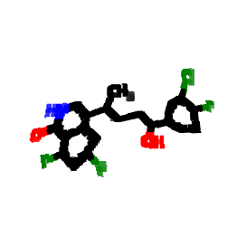 CC([CH]CC(O)c1ccc(F)c(Cl)c1)c1c[nH]c(=O)c2c(F)cc(F)cc12